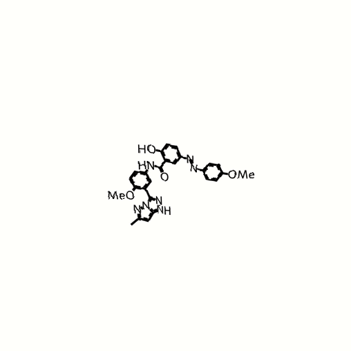 COc1ccc(N=Nc2ccc(O)c(C(=O)Nc3ccc(OC)c(-c4n[nH]c5cc(C)nn45)c3)c2)cc1